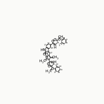 COC(=O)[C@H](Cc1ccccc1)NC(=O)c1ccc2c(c1)C(=Cc1[nH]c(C)c(C(=O)N[C@H](Cc3ccccc3)C(=O)OC)c1C)C(=O)N2